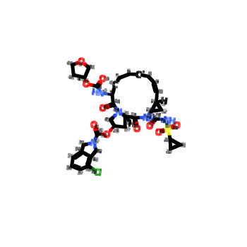 O=C(N[C@H]1CCCCCC=C[C@@H]2C[C@@]2(C(=O)NS(=O)(=O)C2CC2)NC(=O)[C@@H]2C[C@@H](OC(=O)N3Cc4cccc(Cl)c4C3)CN2C1=O)O[C@@H]1CCOC1